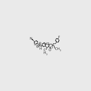 CCC[C@]1(CCc2ccc(F)cc2)CC(O)=C(C(CC)c2cccc(NS(=O)(=O)c3ccc(C#N)cn3)c2)C(=O)O1